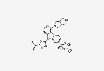 N#CC1(NS(=O)(=O)c2ccc3c4c(N5CC6CNCC6C5)ncnc4n(-c4nnc(C(F)F)s4)c3c2)CC1